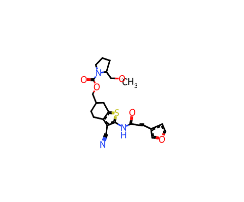 COCC1CCCN1C(=O)OCC1CCc2c(sc(NC(=O)C=Cc3ccoc3)c2C#N)C1